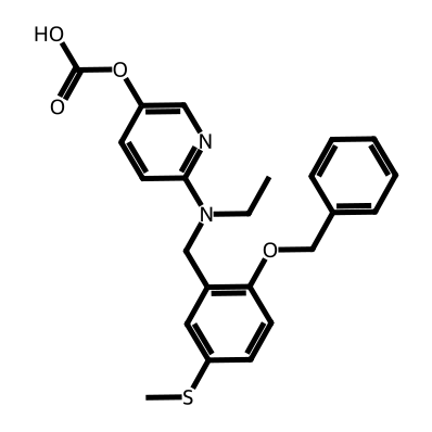 CCN(Cc1cc(SC)ccc1OCc1ccccc1)c1ccc(OC(=O)O)cn1